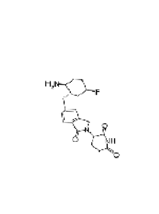 N[C@H]1CC[C@@H](F)C[C@@H]1Cc1ccc2c(c1)CN(C1CCC(=O)NC1=O)C2=O